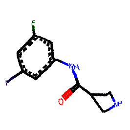 O=C(Nc1cc(F)cc(I)c1)C1CNC1